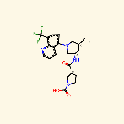 C[C@H]1C[C@@H](NC(=O)[C@@H]2CCN(C(=O)O)C2)CN(c2ccc(C(F)(F)F)c3ncccc23)C1